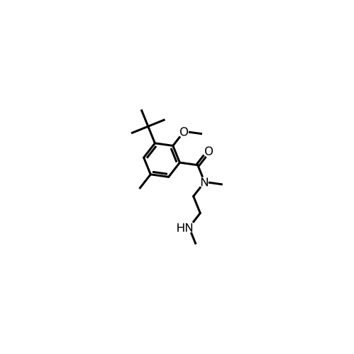 CNCCN(C)C(=O)c1cc(C)cc(C(C)(C)C)c1OC